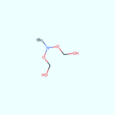 CC(C)(C)N(OCO)OCO